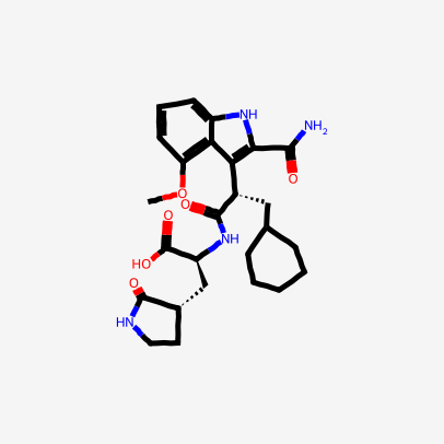 COc1cccc2[nH]c(C(N)=O)c([C@H](CC3CCCCC3)C(=O)N[C@@H](C[C@@H]3CCNC3=O)C(=O)O)c12